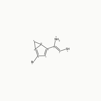 N/C(=C\S)C1=CC(Br)=C2CC12